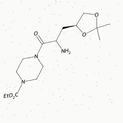 CCOC(=O)N1CCN(C(=O)C(N)C[C@H]2COC(C)(C)O2)CC1